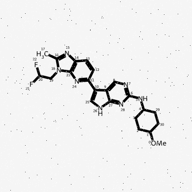 COC1CCC(Nc2ncc3c(-c4ccc5nc(C)n(CC(F)F)c5n4)c[nH]c3n2)CC1